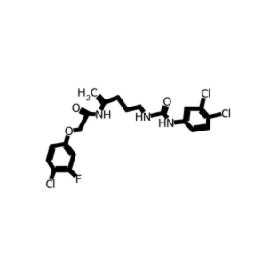 C=C(CCCNC(=O)Nc1ccc(Cl)c(Cl)c1)NC(=O)COc1ccc(Cl)c(F)c1